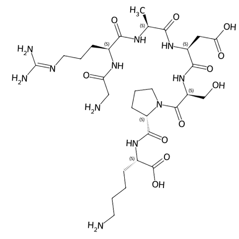 C[C@H](NC(=O)[C@H](CCCN=C(N)N)NC(=O)CN)C(=O)N[C@@H](CC(=O)O)C(=O)N[C@@H](CO)C(=O)N1CCC[C@H]1C(=O)N[C@@H](CCCCN)C(=O)O